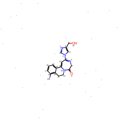 O=C1CN=C(n2cnc(CO)c2)C=C2c3cccc(I)c3CCN12